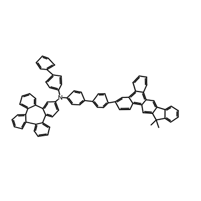 CC1(C)c2ccccc2-c2cc3c4ccccc4c4cc(-c5ccc(-c6ccc(N(c7ccc(-c8ccccc8)cc7)c7ccc8c(c7)-c7ccccc7-c7ccccc7-c7ccccc7-8)cc6)cc5)ccc4c3cc21